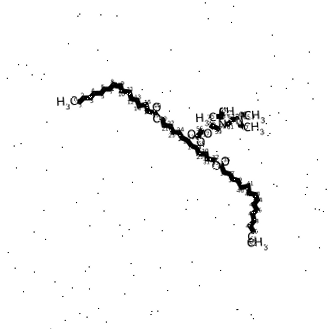 CCCCCCCC/C=C\CCCCCCCC(=O)OCCCCCCC(CCCCCCOC(=O)CCCCCCC/C=C\CCCCCCCC)OC(=O)COCCN(CCN(CC)CC)C(C)C